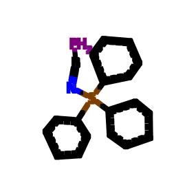 P/B=N/S(c1ccccc1)(c1ccccc1)c1ccccc1